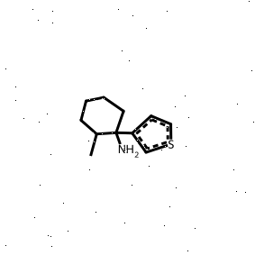 CC1CCCCC1(N)c1ccsc1